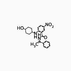 C[C@H](NC(=O)c1cc([N+](=O)[O-])ccc1NC1CCC(O)CC1)c1ccccc1